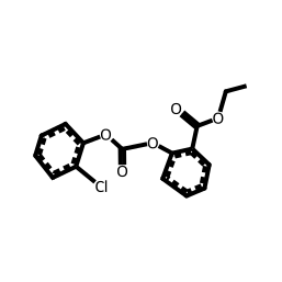 CCOC(=O)c1ccccc1OC(=O)Oc1ccccc1Cl